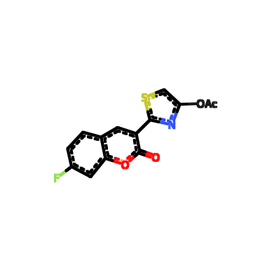 CC(=O)Oc1csc(-c2cc3ccc(F)cc3oc2=O)n1